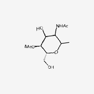 CO[C@H]1C(O)C(NC(C)=O)C(C)O[C@@H]1CO